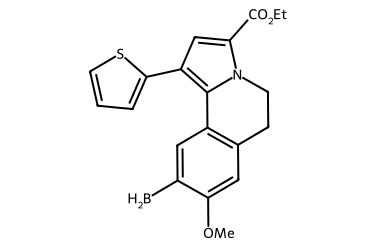 Bc1cc2c(cc1OC)CCn1c(C(=O)OCC)cc(-c3cccs3)c1-2